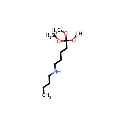 CCCCNCCCCC(OC)(OC)O[SiH3]